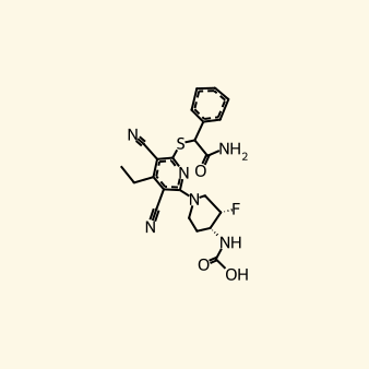 CCc1c(C#N)c(SC(C(N)=O)c2ccccc2)nc(N2CC[C@@H](NC(=O)O)[C@@H](F)C2)c1C#N